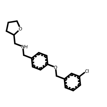 Clc1cccc(COc2ccc(CNCC3CCCO3)cc2)c1